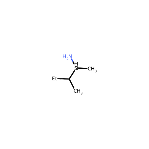 CCC(C)[SiH](C)N